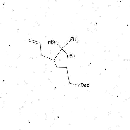 C=CCC(CCCCCCCCCCCCC)C(P)(CCCC)CCCC